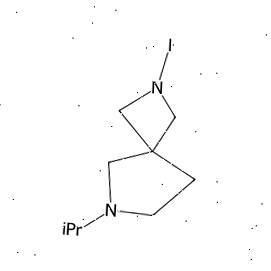 CC(C)N1CCC2(CN(I)C2)C1